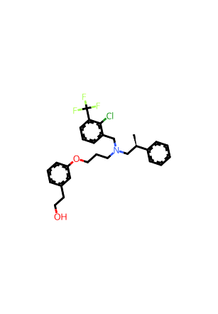 C[C@H](CN(CCCOc1cccc(CCO)c1)Cc1cccc(C(F)(F)F)c1Cl)c1ccccc1